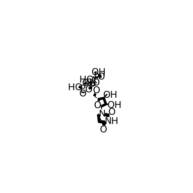 O=c1ccn([C@@H]2O[C@H](COP(=O)(OP(=O)(O)O)OP(=O)(O)O)[C@@H](O)[C@H]2O)c(=O)[nH]1